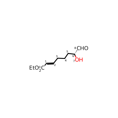 CCOC(=O)/C=C/CCC[C@@H](O)C=O